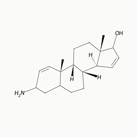 C[C@]12C=CC(N)CC1CC[C@@H]1[C@H]2CC[C@]2(C)C(O)C=C[C@@H]12